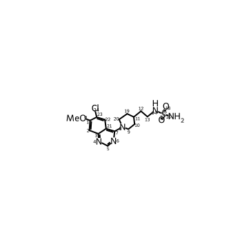 COc1cc2ncnc(N3CCC(CCNS(N)(=O)=O)CC3)c2cc1Cl